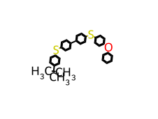 CC(C)(C)c1ccc(Sc2ccc(-c3ccc(Sc4ccc(Oc5ccccc5)cc4)cc3)cc2)cc1